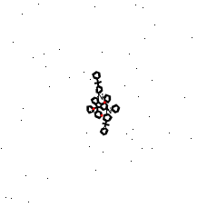 CC(C)(c1ccccc1)c1ccc(N(c2ccccc2)c2ccc3c(c2)C(c2ccccc2)(c2ccccc2)c2cccc(N(c4ccccc4)c4ccc(C(C)(C)c5ccccc5)cc4)c2-3)cc1